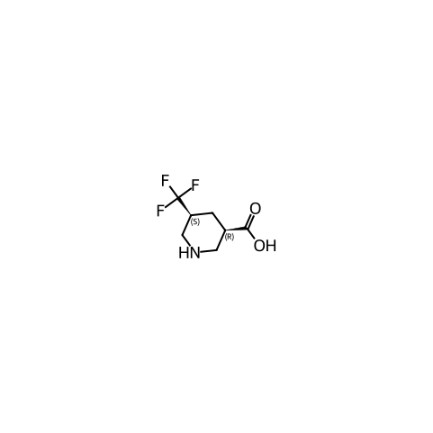 O=C(O)[C@H]1CNC[C@@H](C(F)(F)F)C1